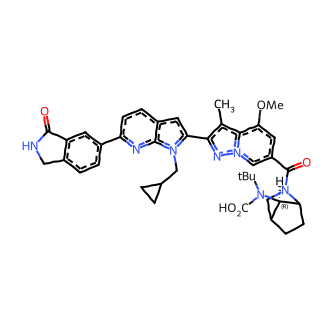 COc1cc(C(=O)N2CC3CCC2[C@@H]3N(C(=O)O)C(C)(C)C)cn2nc(-c3cc4ccc(-c5ccc6c(c5)C(=O)NC6)nc4n3CC3CC3)c(C)c12